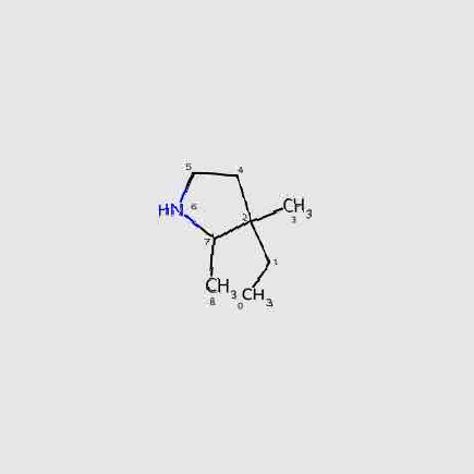 CCC1(C)CCNC1C